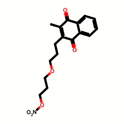 CC1=C(CCCOCCCO[N+](=O)[O-])C(=O)c2ccccc2C1=O